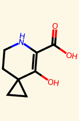 O=C(O)C1=C(O)C2(CCN1)CC2